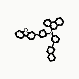 c1cc(-c2ccc3ccccc3c2)cc(N(c2ccc(-c3ccc4c(c3)oc3ccccc34)cc2)c2cc3ccccc3c3ccccc23)c1